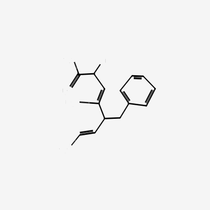 C=C(C(=O)O)C(C)C=C(C(=O)O)C(C=CC(=O)O)Cc1ccccc1